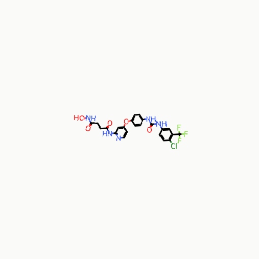 O=C(CCC(=O)Nc1cc(Oc2ccc(NC(=O)Nc3ccc(Cl)c(C(F)(F)F)c3)cc2)ccn1)NO